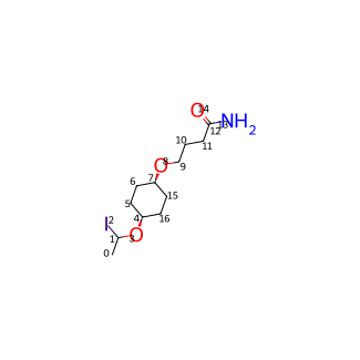 CC(I)O[C@H]1CC[C@@H](OCCCC(N)=O)CC1